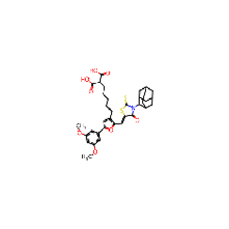 COc1cc(OC)cc(-c2cc(CCCCCC(C(=O)O)C(=O)O)c(C=C3SC(=S)N(C4C5CC6CC(C5)CC4C6)C3=O)o2)c1